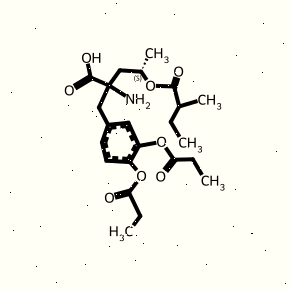 CCC(=O)Oc1ccc(CC(N)(C[C@H](C)OC(=O)C(C)CC)C(=O)O)cc1OC(=O)CC